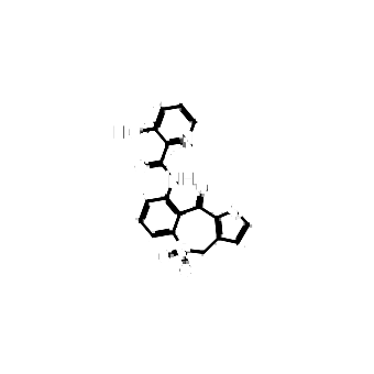 O=C(Nc1cccc2c1C(=O)c1sccc1CS2(=O)=O)c1ncccc1O